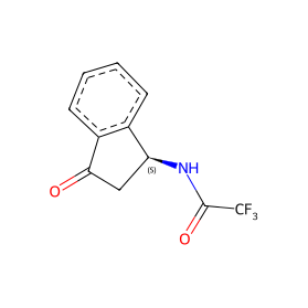 O=C1C[C@H](NC(=O)C(F)(F)F)c2ccccc21